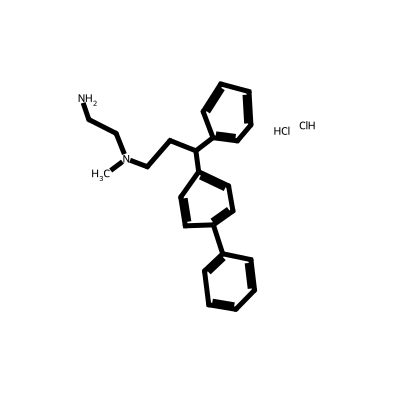 CN(CCN)CCC(c1ccccc1)c1ccc(-c2ccccc2)cc1.Cl.Cl